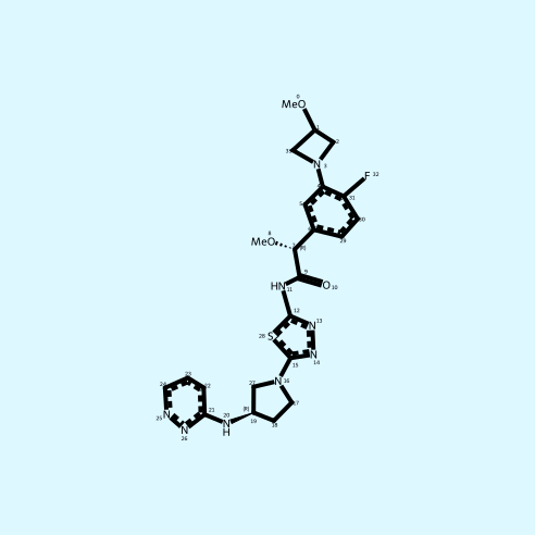 COC1CN(c2cc([C@@H](OC)C(=O)Nc3nnc(N4CC[C@@H](Nc5cccnn5)C4)s3)ccc2F)C1